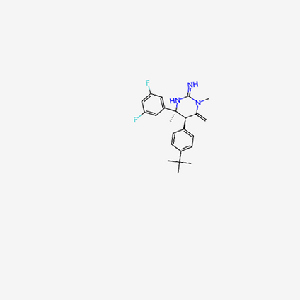 C=C1[C@@H](c2ccc(C(C)(C)C)cc2)[C@@](C)(c2cc(F)cc(F)c2)NC(=N)N1C